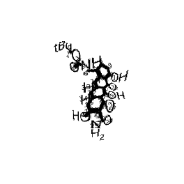 CC(C)(C)COC(=O)NCc1ccc(O)c2c1C[C@H]1C[C@H]3CC(O)=C(C(N)=O)C(=O)C3C(O)=C1C2=O